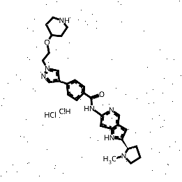 CN1CCC[C@@H]1c1cc2cnc(NC(=O)c3ccc(-c4cnn(CCOC5CCNCC5)c4)cc3)cc2[nH]1.Cl.Cl